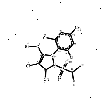 CCOC1=C(Cl)C(C#N)N(S(=O)(=O)C(F)F)N1c1c(Cl)cc(C(F)(F)F)cc1Cl